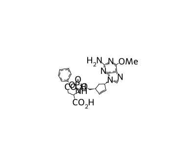 COc1nc(N)nc2c1ncn2[C@H]1C=C[C@@H](COP(=O)(NC(CC(=O)O)C(=O)O)Oc2ccccc2)C1